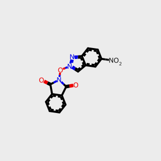 O=C1c2ccccc2C(=O)N1On1cc2cc([N+](=O)[O-])ccc2n1